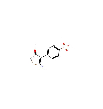 NC1=C(c2ccc(S(=O)(=O)O)cc2)C(=O)CS1